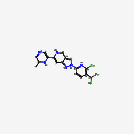 Cc1cncc(-c2cc3nn(-c4ccc(C(F)F)c(F)n4)cc3cn2)n1